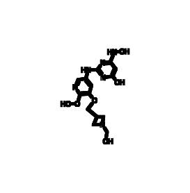 OCN1CC(COc2cc(Nc3nc(O)cc(NO)n3)cnc2OO)C1